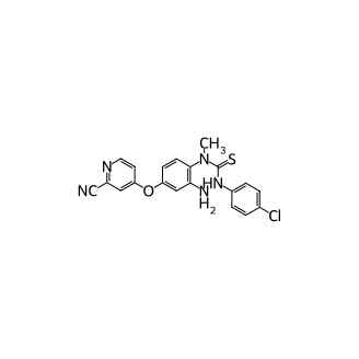 CN(C(=S)Nc1ccc(Cl)cc1)c1ccc(Oc2ccnc(C#N)c2)cc1N